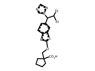 CCC(CC)C(c1ccc2nc(OCC3(C(=O)O)CCCC3)sc2c1)n1cncn1